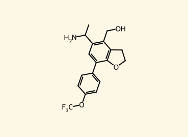 CC(N)c1cc(-c2ccc(OC(F)(F)F)cc2)c2c(c1CO)CCO2